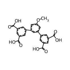 COc1cc(-c2cc(C(=O)O)cc(C(=O)O)c2)cc(-c2cc(C(=O)O)cc(C(=O)O)c2)c1